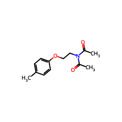 CC(=O)N(CCOc1ccc(C)cc1)C(C)=O